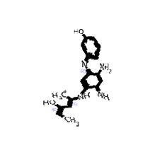 C/C=C(O)\C=C(/C)NC1=C/C(=N/c2cccc(O)c2)C(N)=CC1=N